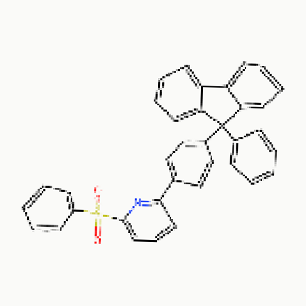 O=S(=O)(c1ccccc1)c1cccc(-c2ccc(C3(c4ccccc4)c4ccccc4-c4ccccc43)cc2)n1